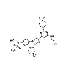 NS(=O)(=O)C(=CO)c1ccc(-n2cc(-c3cc(NCCO)nc(N4CCC(F)(F)CC4)n3)nn2)c(N2CCC3(CC2)CC3)c1